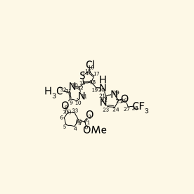 COC(=O)[C@H]1CCC[C@H](Oc2cnc(-c3sc(Cl)cc3CNc3nccc(OCC(F)(F)F)n3)nc2C)C1